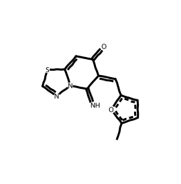 Cc1ccc(/C=C2\C(=N)N3N=CSC3=CC2=O)o1